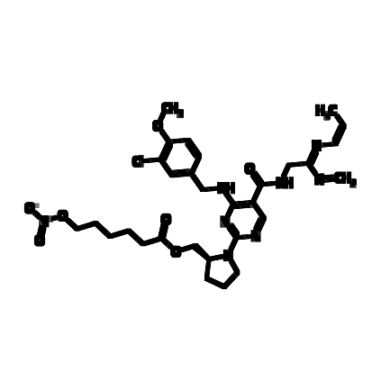 C=N/C(CNC(=O)c1cnc(N2CCC[C@H]2COC(=O)CCCCCO[N+](=O)[O-])nc1NCc1ccc(OC)c(Cl)c1)=N\C=C/C